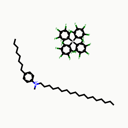 CCCCCCCCCCCCCCCCCC[NH+](C)c1ccc(CCCCCCCC)cc1.Fc1c(F)c(F)c([B-](c2c(F)c(F)c(F)c(F)c2F)(c2c(F)c(F)c(F)c(F)c2F)c2c(F)c(F)c(F)c(F)c2F)c(F)c1F